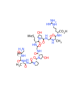 CSCC[C@H](NC(=O)CNC(=O)[C@@H]1C[C@@H](O)CN1C(=O)[C@@H]1CCCN1C(=O)CNC(=O)[C@H](C)NC(=O)[C@H](CC(C)C)NC(=O)CN)C(=O)N1C[C@H](O)C[C@H]1C(=O)NCC(=O)N[C@@H](C)C(=O)N[C@@H](CCCNC(=N)N)C(=O)O